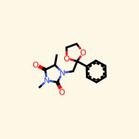 CC1C(=O)N(C)C(=O)N1CC1(c2ccccc2)OCCO1